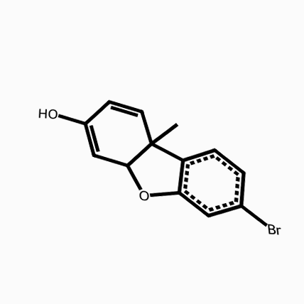 CC12C=CC(O)=CC1Oc1cc(Br)ccc12